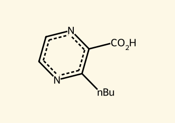 CCCCc1nccnc1C(=O)O